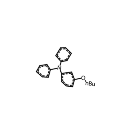 CCCCOc1cccc(N(c2ccccc2)c2ccccc2)c1